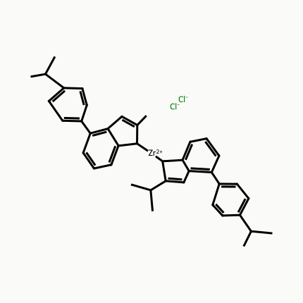 CC1=Cc2c(-c3ccc(C(C)C)cc3)cccc2[CH]1[Zr+2][CH]1C(C(C)C)=Cc2c(-c3ccc(C(C)C)cc3)cccc21.[Cl-].[Cl-]